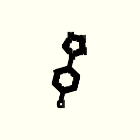 Clc1c[c]c(-n2cnnn2)cc1